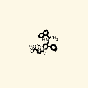 C[C@@H](NCC1CCN(C(=O)c2ccc(C(=O)O)[nH]2)CC1c1ccccc1)c1cccc2ccccc12